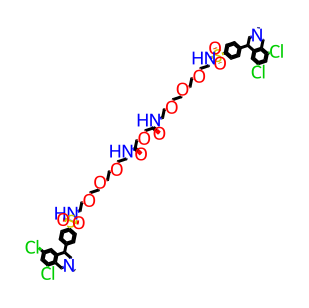 CN1Cc2c(Cl)cc(Cl)cc2C(c2ccc(S(=O)(=O)NCCOCCOCCOCCNC(=O)COCC(=O)NCCOCCOCCOCCNS(=O)(=O)c3ccc(C4CN(C)Cc5c(Cl)cc(Cl)cc54)cc3)cc2)C1